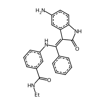 CCNC(=O)c1cccc(NC(=C2C(=O)Nc3ccc(N)cc32)c2ccccc2)c1